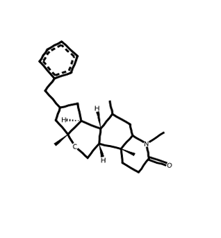 CC1CC2N(C)C(=O)CC[C@]2(C)[C@@H]2CC[C@]3(C)CC(Cc4ccccc4)C[C@H]3[C@H]12